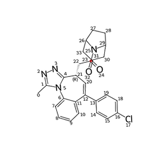 Cc1nnc2n1-c1ccccc1C(c1ccc(Cl)cc1)=C[C@H]2CC(=O)N1C2CCC1CC(=O)C2